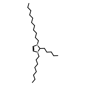 CCCCCCCCCCCN1C=CN(CCCCCCCC)C1CCCCC